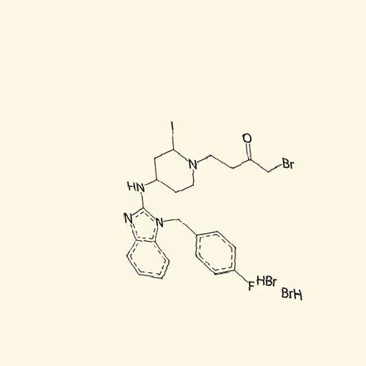 Br.Br.O=C(CBr)CCN1CCC(Nc2nc3ccccc3n2Cc2ccc(F)cc2)CC1I